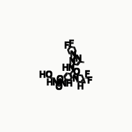 Cc1cc(NC(=O)c2ccc(NS(=O)(=O)NCCO)cc2N2CC[C@@]3(C(F)F)C[C@H]3C2)nc(N2CCC(F)(F)CC2)n1